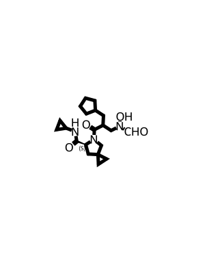 O=CN(O)CC(CC1CCCC1)C(=O)N1CC2(CC2)C[C@H]1C(=O)NC1CC1